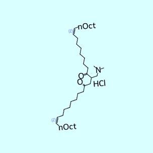 CCCCCCCC/C=C\CCCCCCCC(=O)CC(CN(C)C)C(=O)CCCCCCC/C=C\CCCCCCCC.Cl